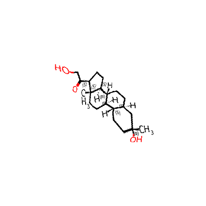 C[C@@]1(O)CC[C@H]2[C@@H](CC[C@@H]3[C@@H]2CC[C@]2(C)[C@@H](C(=O)CO)CC[C@@H]32)C1